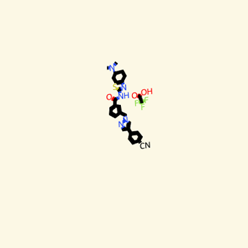 CN(C)[C@H]1CCc2nc(NC(=O)c3cccc(Cn4cc(-c5ccc(C#N)cc5)cn4)c3)sc2C1.O=C(O)C(F)(F)F